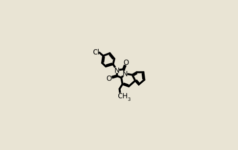 CCC1=Cc2ccccc2N2C(=O)N(c3ccc(Cl)cc3)C(=O)C12